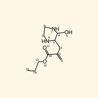 C=C(CC1NCCNC1O)C(=O)OCCC